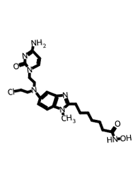 Cn1c(CCCCCCC(=O)NO)nc2cc(N(CCCl)CCn3ccc(N)nc3=O)ccc21